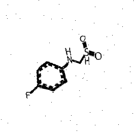 O=[SH](=O)CNc1c[c]c(F)cc1